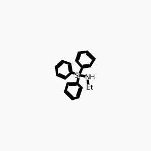 CCN[Si](c1ccccc1)(c1ccccc1)c1ccccc1